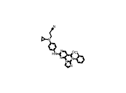 N#CCCN(c1ccc(Nc2ncc3c(=O)n(-c4ccccc4Cl)c4nccn4c3n2)cc1)C1CC1